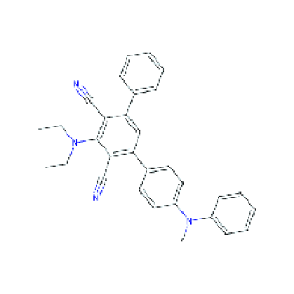 CCN(CC)c1c(C#N)c(-c2ccccc2)cc(-c2ccc(N(C)c3ccccc3)cc2)c1C#N